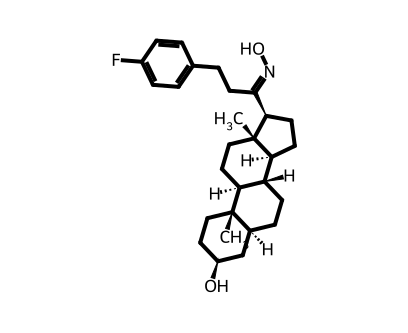 C[C@]12CC[C@H](O)C[C@@H]1CC[C@@H]1[C@@H]2CC[C@]2(C)[C@@H](/C(CCc3ccc(F)cc3)=N/O)CC[C@@H]12